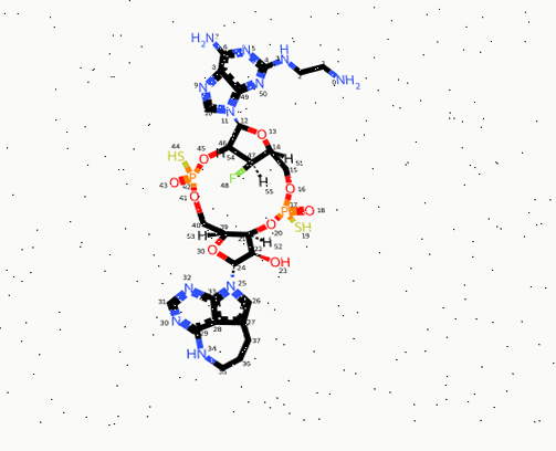 NCCNc1nc(N)c2ncn([C@@H]3O[C@@H]4COP(=O)(S)O[C@H]5[C@@H](O)[C@H](n6cc7c8c(ncnc86)NCCC7)O[C@@H]5COP(=O)(S)O[C@@H]3[C@@H]4F)c2n1